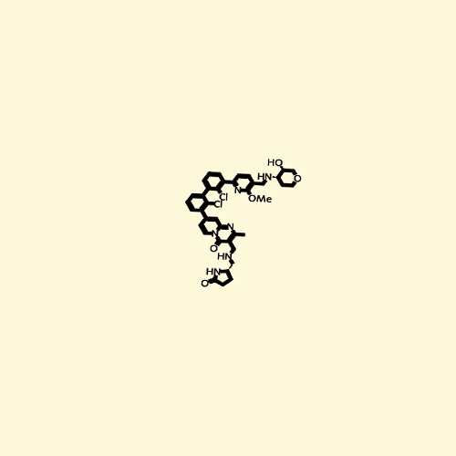 COc1nc(-c2cccc(-c3cccc(-c4ccn5c(=O)c(CNC[C@@H]6CCC(=O)N6)c(C)nc5c4)c3Cl)c2Cl)ccc1CN[C@H]1CCOC[C@@H]1O